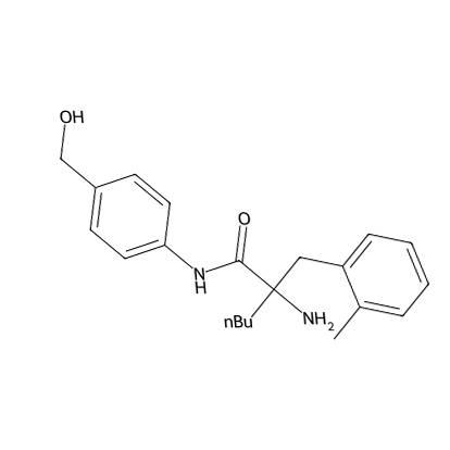 CCCCC(N)(Cc1ccccc1C)C(=O)Nc1ccc(CO)cc1